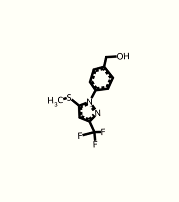 CSc1cc(C(F)(F)F)nn1-c1ccc(CO)cc1